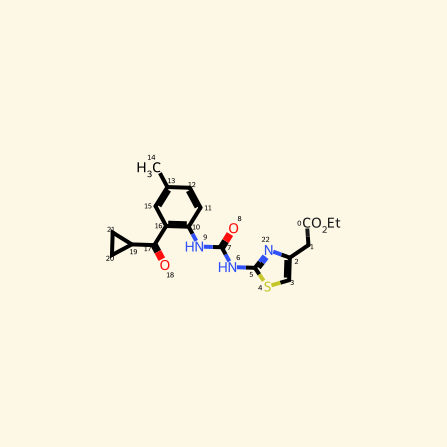 CCOC(=O)Cc1csc(NC(=O)Nc2ccc(C)cc2C(=O)C2CC2)n1